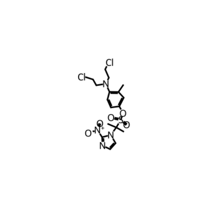 Cc1cc(OS(=O)(=O)C(C)(C)n2ccnc2[N+](=O)[O-])ccc1N(CCCl)CCCl